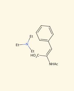 CC(=O)NC(=Cc1ccccc1)C(=O)O.CCN(CC)CC